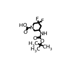 CC(C)(C)OC(=O)NC1CN(C(=O)O)CC(F)(F)C1